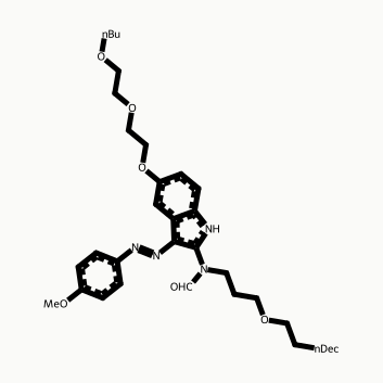 CCCCCCCCCCCCOCCCN(C=O)c1[nH]c2ccc(OCCOCCOCCCC)cc2c1N=Nc1ccc(OC)cc1